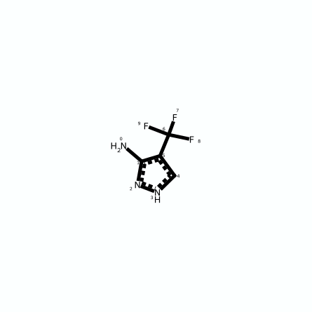 Nc1n[nH]cc1C(F)(F)F